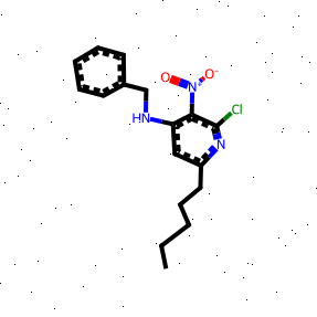 CCCCCc1cc(NCc2ccccc2)c([N+](=O)[O-])c(Cl)n1